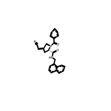 N#CC=C1C[C@@H](C(=O)NCc2cccc3ccccc23)N(C(=O)c2ccccc2)C1